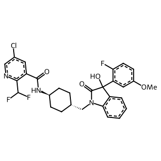 COc1ccc(F)c(C2(O)C(=O)N(C[C@H]3CC[C@H](NC(=O)c4cc(Cl)cnc4C(F)F)CC3)c3ccccc32)c1